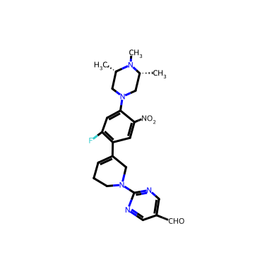 C[C@@H]1CN(c2cc(F)c(C3=CCCN(c4ncc(C=O)cn4)C3)cc2[N+](=O)[O-])C[C@H](C)N1C